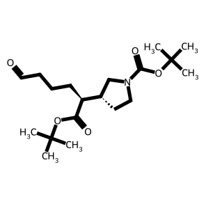 CC(C)(C)OC(=O)[C@@H](CCCC=O)[C@H]1CCN(C(=O)OC(C)(C)C)C1